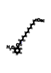 CCCCCCCCCCCCCCCCCCCC/C=C/Oc1ccccc1C